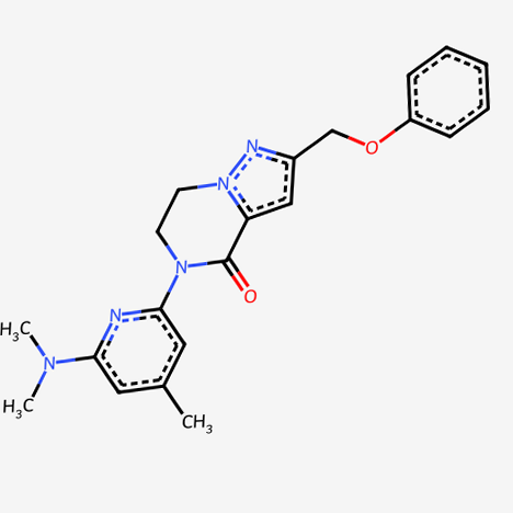 Cc1cc(N(C)C)nc(N2CCn3nc(COc4ccccc4)cc3C2=O)c1